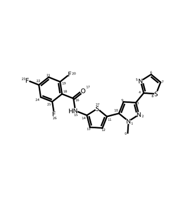 Cn1nc(-c2nccs2)cc1-c1ccc(NC(=O)c2c(F)cc(F)cc2F)s1